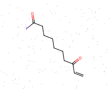 C=CC(=O)CCCCCCC(=O)I